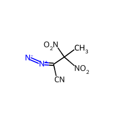 CC(C(C#N)=[N+]=[N-])([N+](=O)[O-])[N+](=O)[O-]